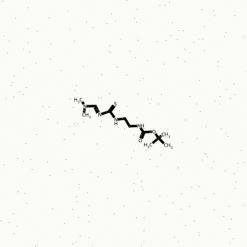 CN(C)C=NC(=S)NCCNC(=O)OC(C)(C)C